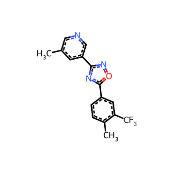 Cc1cncc(-c2noc(-c3ccc(C)c(C(F)(F)F)c3)n2)c1